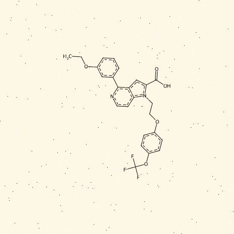 CCOc1cccc(-c2nccc3c2cc(C(=O)O)n3CCOc2ccc(OC(F)(F)F)cc2)c1